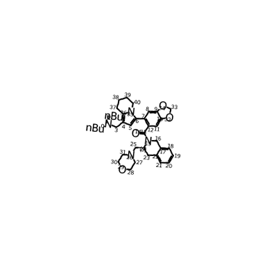 CCCCN(CCCC)Cc1cc(-c2cc3c(cc2C(=O)N2Cc4ccccc4C[C@H]2CN2CCOCC2)OCO3)n2c1CCCC2